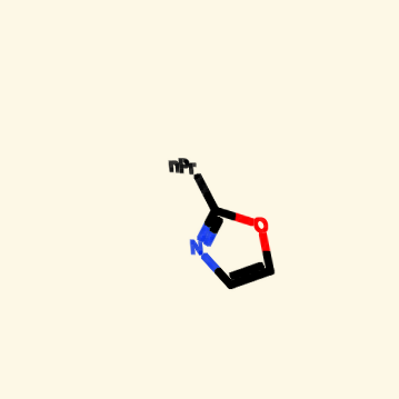 C[CH]Cc1ncco1